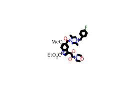 CCOC(=O)n1cc(C(=O)C(=O)N2CCOCC2)c2cc(C(=O)N3CC(C)N(Cc4ccc(F)cc4)CC3C)c(OC)cc21